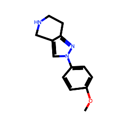 COc1ccc(-n2cc3c(n2)CCNC3)cc1